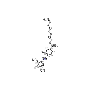 CCN(CCOCCOCCN)c1ccc(/N=N/c2sc(C#N)c(C)c2C#N)c(C)c1